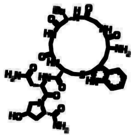 CC[C@H](C)[C@@H]1NC(=O)CNC(=O)C(N)Cc2c([nH]c3ccccc23)SC[C@@H](C(=O)N[C@@H](CC(N)=O)C(=O)N2CC(O)C[C@H]2C(N)=O)NC(=O)CNC1=O